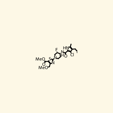 COCc1nc(N2CC[C@@H](NC(=O)c3[nH]c(C)c(CI)c3Cl)[C@@H](F)C2)sc1C(=O)OC